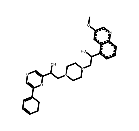 COc1cnc2cccc(C(O)CN3CCN(CC(O)C4=COC=C(C5=CC=CCC5)O4)CC3)c2c1